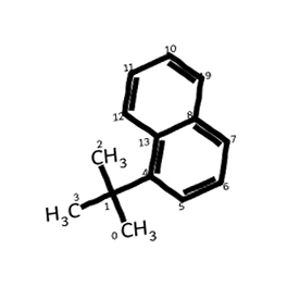 CC(C)(C)c1cccc2[c]cccc12